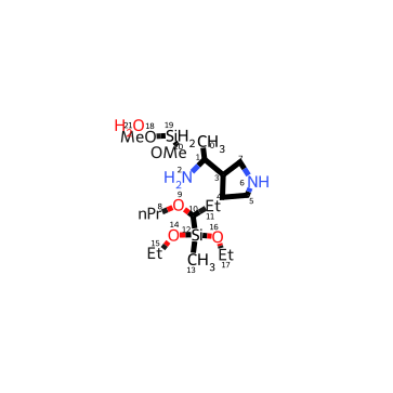 CC(N)C1CCNC1.CCCOC(CC)[Si](C)(OCC)OCC.CO[SiH2]OC.O